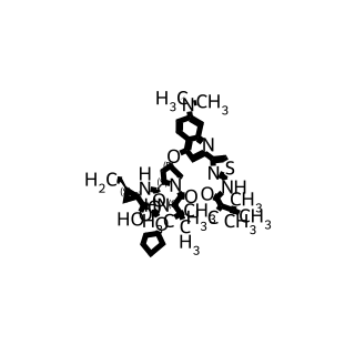 C=C[C@@H]1C[C@]1(NC(=O)[C@@H]1C[C@@H](Oc2cc(-c3csc(NC(=O)C(C)C(C)(C)C)n3)nc3cc(N(C)C)ccc23)CN1C(=O)[C@@H](NC(=O)OC1CCCC1)C(C)(C)C)C(=O)O